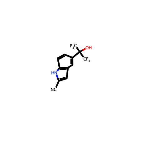 N#Cc1cc2cc(C(O)(C(F)(F)F)C(F)(F)F)ccc2[nH]1